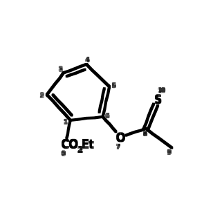 CCOC(=O)c1ccccc1OC(C)=S